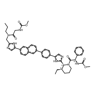 CCCN(Cc1ncc(-c2ccc3cc(-c4ccc(-c5cnc([C@@H]6[C@H](CC)CCCN6C(=O)[C@H](NC(=O)OC)c6ccccc6)[nH]5)cc4)ccc3c2)[nH]1)C(=O)CNC(=O)OC